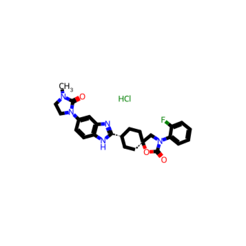 CN1CCN(c2ccc3[nH]c([C@H]4CC[C@]5(CC4)CN(c4ccccc4F)C(=O)O5)nc3c2)C1=O.Cl